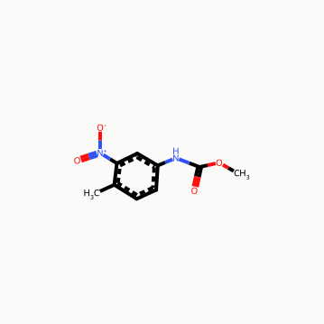 COC(=O)Nc1ccc(C)c([N+](=O)[O-])c1